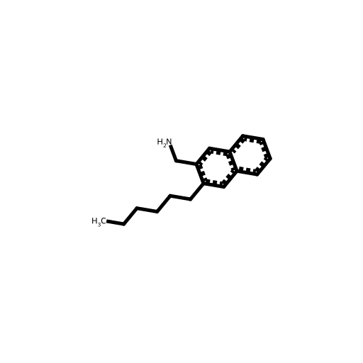 CCCCCCc1cc2ccccc2cc1CN